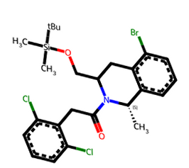 C[C@H]1c2cccc(Br)c2CC(CO[Si](C)(C)C(C)(C)C)N1C(=O)Cc1c(Cl)cccc1Cl